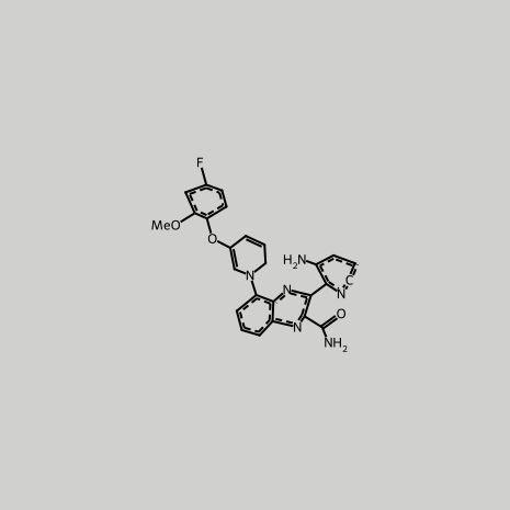 COc1cc(F)ccc1OC1=CN(c2cccc3nc(C(N)=O)c(-c4ncccc4N)nc23)CC=C1